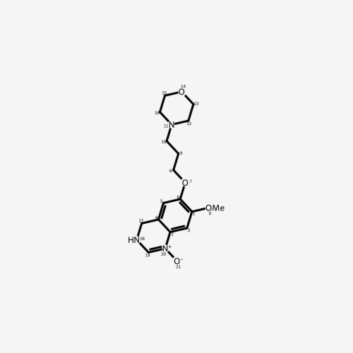 COc1cc2c(cc1OCCCN1CCOCC1)CNC=[N+]2[O-]